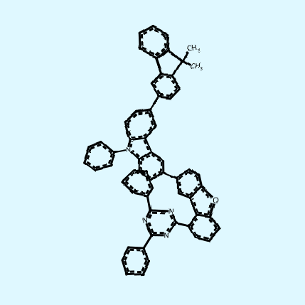 CC1(C)c2ccccc2-c2cc(-c3ccc4c(c3)c3cc(-c5ccc6oc7cccc(-c8nc(-c9ccccc9)nc(-c9ccccc9)n8)c7c6c5)ccc3n4-c3ccccc3)ccc21